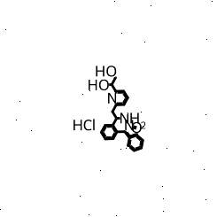 Cl.NC(Cc1cccc(C(O)CO)n1)c1ccccc1-c1noc2ccccc12